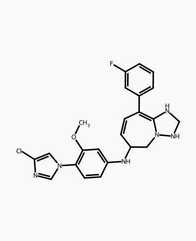 COc1cc(NC2C=CC(c3cccc(F)c3)=C3NCNN3C2)ccc1-n1cnc(Cl)c1